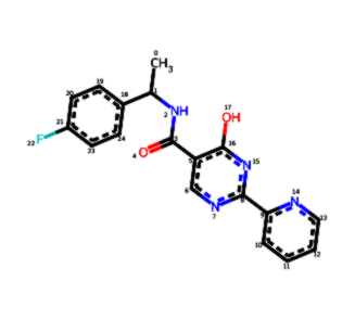 CC(NC(=O)c1cnc(-c2ccccn2)nc1O)c1ccc(F)cc1